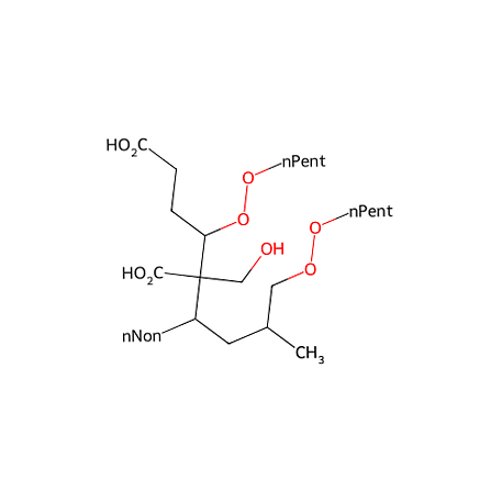 CCCCCCCCCC(CC(C)COOCCCCC)C(CO)(C(=O)O)C(CCC(=O)O)OOCCCCC